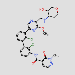 COc1nc(-c2cccc(-c3cccc(NC(=O)c4ccnn(C)c4=O)c3Cl)c2Cl)cnc1CNC1CCOCC1O